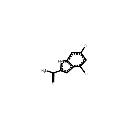 NC(=O)c1cc2c(Cl)cc(Cl)cc2[nH]1